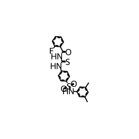 Cc1cc(C)cc(NS(=O)(=O)c2ccc(NC(=S)NC(=O)c3ccccc3F)cc2)c1